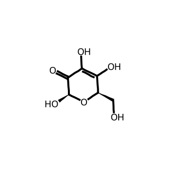 O=C1C(O)=C(O)[C@@H](CO)O[C@H]1O